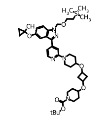 CC(C)(C)OC(=O)N1CCC(OC2CC(OC3CCN(c4cc(-c5nn(COCC[Si](C)(C)C)c6ccc(OC7(C)CC7)cc56)ccn4)CC3)C2)CC1